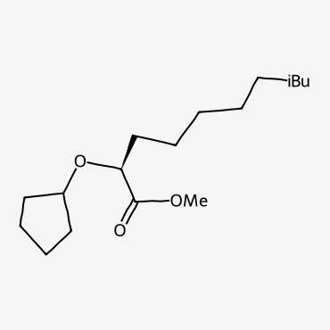 CCC(C)CCCCC[C@H](OC1CCCC1)C(=O)OC